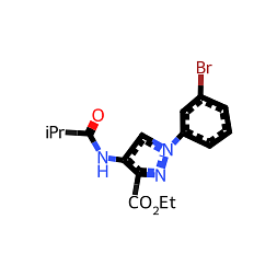 CCOC(=O)c1nn(-c2cccc(Br)c2)cc1NC(=O)C(C)C